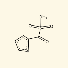 NS(=O)(=O)C(=O)c1cccs1